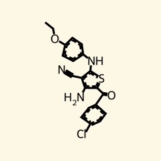 CCOc1ccc(Nc2sc(C(=O)c3ccc(Cl)cc3)c(N)c2C#N)cc1